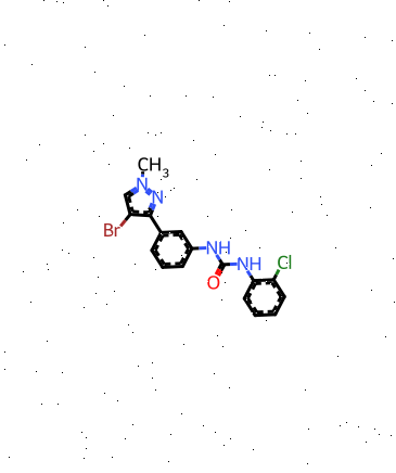 Cn1cc(Br)c(-c2cccc(NC(=O)Nc3ccccc3Cl)c2)n1